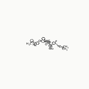 C[C@H]1CCCCN1c1nnc2ccc(O[C@@H]3CC[C@H](NC(=O)N(OC=O)c4cc(C(C)(C)C)nn4-c4ccc(F)c(CCN5CC(N(C)C)C5)c4)c4ccccc43)cn12